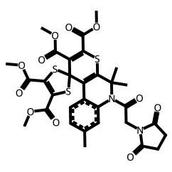 COC(=O)C1=C(C(=O)OC)SC2(S1)C(C(=O)OC)=C(C(=O)OC)SC1=C2c2ccc(C)cc2N(C(=O)CN2C(=O)CCC2=O)C1(C)C